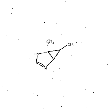 CC1C2N=CN[C@@]12C